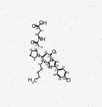 CCCCCn1c(N2CCC[C@@H]2CC(=O)NCCC(=O)O)cc(=O)n2cc(-c3ccc(Cl)cc3)nc12